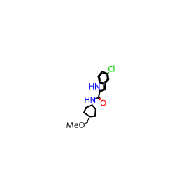 COC[C@H]1CC[C@H](NC(=O)c2cc3cc(Cl)ccc3[nH]2)CC1